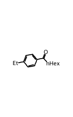 CCCCCCC(=O)c1ccc(CC)cc1